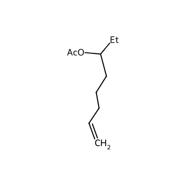 C=CCCCC(CC)OC(C)=O